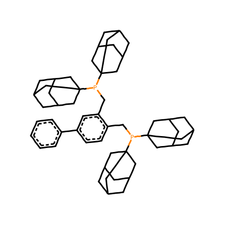 c1ccc(-c2ccc(CP(C34CC5CC(CC(C5)C3)C4)C34CC5CC(CC(C5)C3)C4)c(CP(C34CC5CC(CC(C5)C3)C4)C34CC5CC(CC(C5)C3)C4)c2)cc1